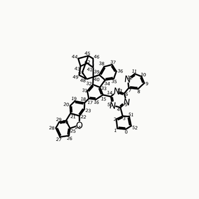 c1ccc(-c2nc(-c3ccccn3)nc(-c3cc(-c4ccc5c(c4)oc4ccccc45)cc4c3-c3ccccc3C43C4CC5CC(C4)CC3C5)n2)cc1